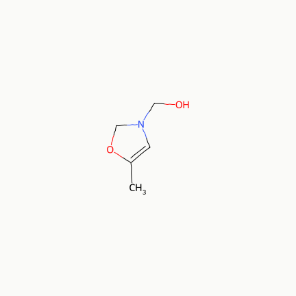 CC1=CN(CO)CO1